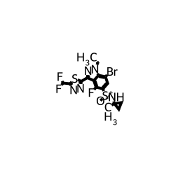 CCn1nc(-c2nnc(C(F)F)s2)c2c(F)c([S+]([O-])NC3(C)CC3)cc(Br)c21